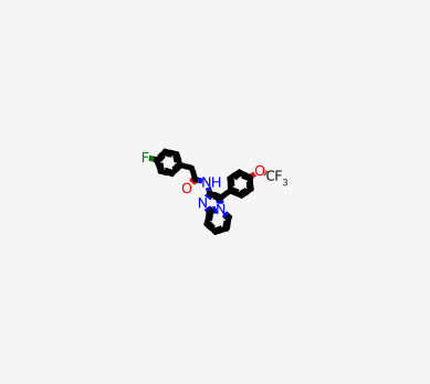 O=C(Cc1ccc(F)cc1)Nc1nc2ccccn2c1-c1ccc(OC(F)(F)F)cc1